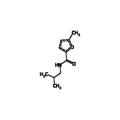 Cc1ccc(C(=O)NCC(C)C)o1